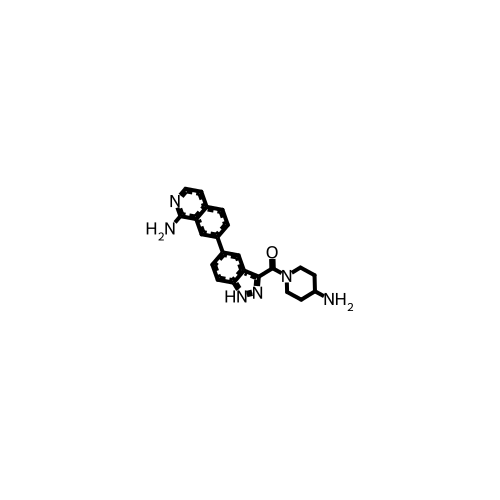 Nc1nccc2ccc(-c3ccc4[nH]nc(C(=O)N5CCC(N)CC5)c4c3)cc12